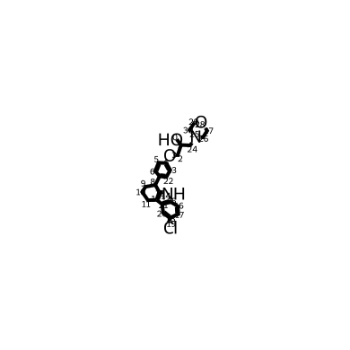 OC(COc1ccc(C2CCCc3c2[nH]c2ccc(Cl)cc32)cc1)CN1CCOCC1